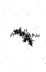 C=CC(=O)Nc1cc(Nc2nccc(-c3cc(F)c4nc(C)c(C(C)C)n4c3)n2)c(OC)cc1N(C)CCN(C)C